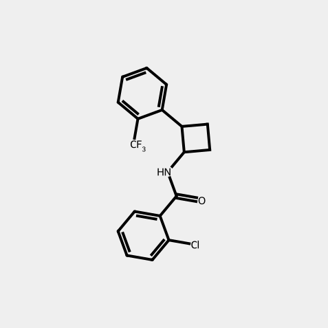 O=C(NC1CCC1c1ccccc1C(F)(F)F)c1ccccc1Cl